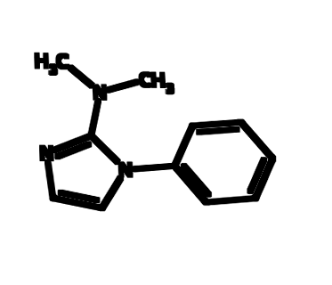 CN(C)c1nccn1-c1ccccc1